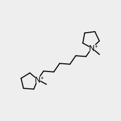 C[N+]1(CCCCCC[N+]2(C)CCCC2)CCCC1